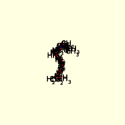 C=CCCN(C(=C)NC)c1ccc(N2CCC(CN3CCN(c4ccc(-c5cc6c(-c7ccc(/C=N/C(=C)C8=NCC(C(C)(C)C)=N8)c(C)c7)ncnc6[nH]5)cn4)CC3)CC2)cc1